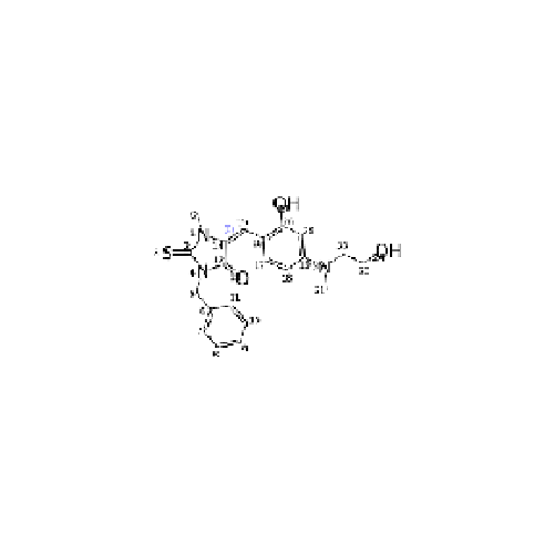 CN1C(=S)N(Cc2ccccc2)C(=O)/C1=C\c1ccc(N(C)CCO)cc1O